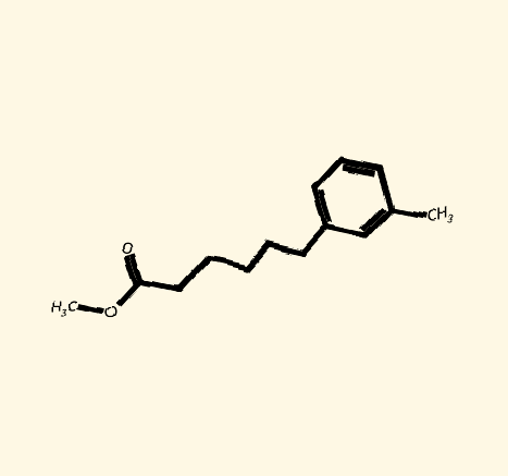 COC(=O)CCCCCc1cccc(C)c1